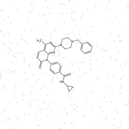 Cc1nc(N2CCN(Cc3ccccc3)CC2)nc2c1ccc(=O)n2-c1ccc(C(=O)NC2CC2)cc1